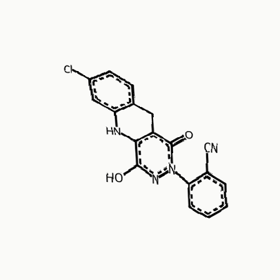 N#Cc1ccccc1-n1nc(O)c2c(c1=O)Cc1ccc(Cl)cc1N2